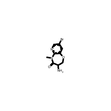 CN1C(=O)C(N)COc2cc(Br)cnc21